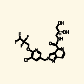 O=C(NC[C@@H](O)CO)c1nccc2nn(Cc3cnc(OCC(F)(F)C(F)F)c(Cl)c3)cc12